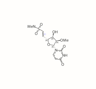 CNS(=O)(=O)/C=C/[C@H]1O[C@@H](n2ccc(=O)[nH]c2=O)[C@H](OC)[C@@H]1O